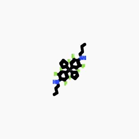 CCCCNc1c(F)c(F)[c]([Ti]([C]2=CC=CC2)([C]2=CC=CC2)[c]2c(F)c(F)c(NCCCC)c(F)c2F)c(F)c1F